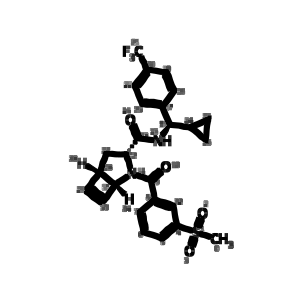 CS(=O)(=O)c1cccc(C(=O)N2[C@@H](C(=O)N[C@@H](c3ccc(C(F)(F)F)cc3)C3CC3)C[C@H]3C#C[C@H]32)c1